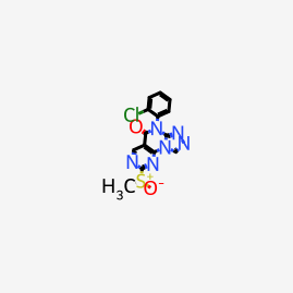 C[S+]([O-])c1ncc2c(=O)n(-c3ccccc3Cl)c3nncn3c2n1